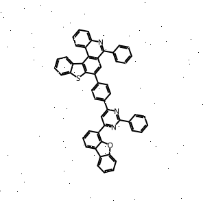 c1ccc(-c2nc(-c3ccc(-c4cc5c(-c6ccccc6)nc6ccccc6c5c5c4sc4ccccc45)cc3)cc(-c3cccc4c3oc3ccccc34)n2)cc1